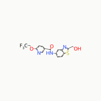 O=C(Nc1ccc2sc(CO)nc2c1)c1ccc(OCC(F)(F)F)nc1